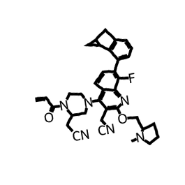 C=CC(=O)N1CCN(c2c(CC#N)c(OCC3CCCN3C)nc3c(F)c(-c4cccc5c4C4CC4C5)ccc23)CC1CC#N